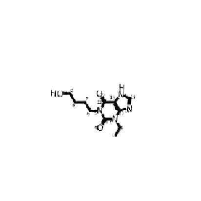 CCn1c(=O)n(CCCCO)c(=O)c2[nH]cnc21